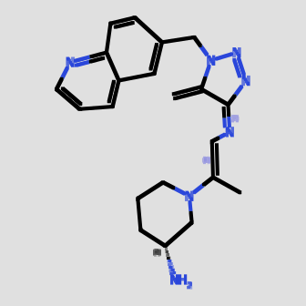 C=C1/C(=N\C=C(/C)N2CCC[C@@H](N)C2)N=NN1Cc1ccc2ncccc2c1